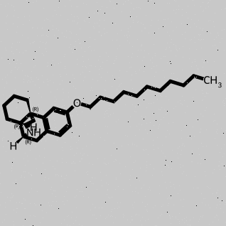 CCCCCCCCCC[CH]Oc1ccc2c(c1)[C@@]13CCCC[C@H]1[C@@H](C2)NCC3